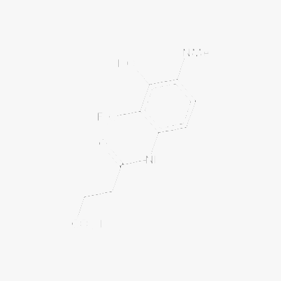 CNc1ccc(NC(=O)CCC(=O)O)c(C(F)(F)F)c1O